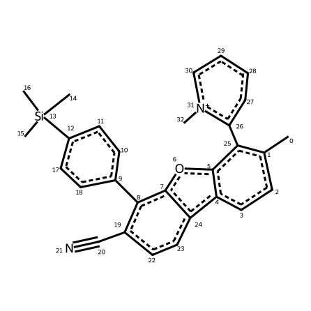 Cc1ccc2c(oc3c(-c4ccc([Si](C)(C)C)cc4)c(C#N)ccc32)c1-c1cccc[n+]1C